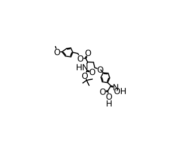 COc1ccc(COC(=O)C(CCOc2ccc(C(=NO)C(=O)O)cc2)NC(=O)OC(C)(C)C)cc1